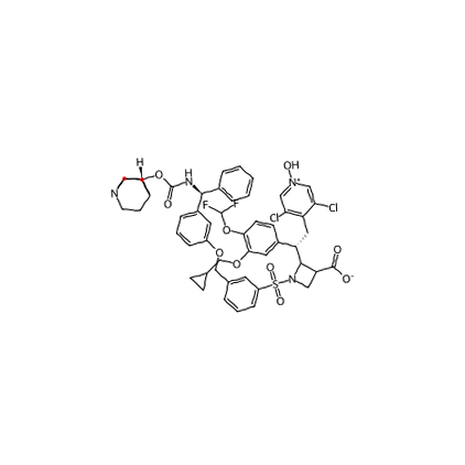 O=C(N[C@@H](c1ccccc1)c1cccc(OCc2cccc(S(=O)(=O)N3CC(C(=O)[O-])C3[C@@H](Cc3c(Cl)c[n+](O)cc3Cl)c3ccc(OC(F)F)c(OCC4CC4)c3)c2)c1)O[C@H]1CN2CCC1CC2